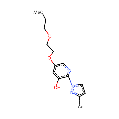 COCCOCCOc1cnc(-n2ccc(C(C)=O)n2)c(O)c1